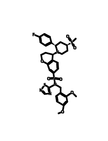 COc1ccc(CN(c2ncns2)S(=O)(=O)c2ccc3c(c2)OCC[C@H]3N2CC[C@@H](S(C)(=O)=O)C[C@H]2c2ccc(F)cc2)c(OC)c1